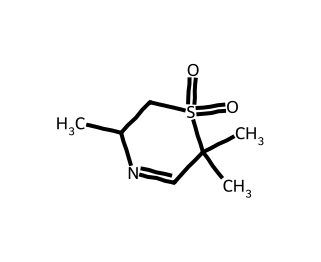 CC1CS(=O)(=O)C(C)(C)C=N1